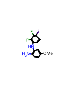 COc1ccc(N)c(Nc2ccc(I)c(F)c2F)c1